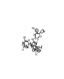 COc1ccc(Cc2nc(NS(C)(=O)=O)nn2-c2cc(C)nc(C)n2)cc1OC